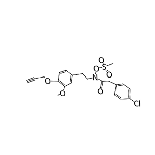 C#CCOc1ccc(CCN(OS(C)(=O)=O)C(=O)Cc2ccc(Cl)cc2)cc1OC